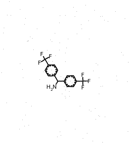 NC(c1ccc(C(F)(F)F)cc1)c1ccc(C(F)(F)F)cc1